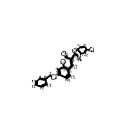 O=c1oc2cc(OCc3ccccc3)ccc2cc1-c1nc2cc(Cl)ccc2o1